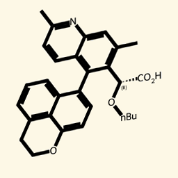 CCCCO[C@@H](C(=O)O)c1c(C)cc2nc(C)ccc2c1-c1ccc2c3c(cccc13)CCO2